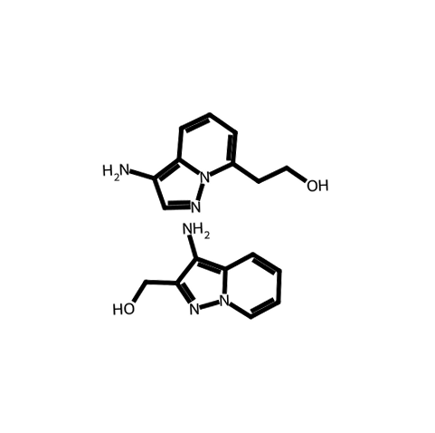 Nc1c(CO)nn2ccccc12.Nc1cnn2c(CCO)cccc12